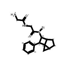 CCN(C(=O)CNC(=O)CN)C1C2CCC3CC32C1c1ccccc1